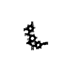 N#Cc1cnc(NC2CC2)c(N2CCC(C(F)c3ccc(F)cc3F)CC2)n1